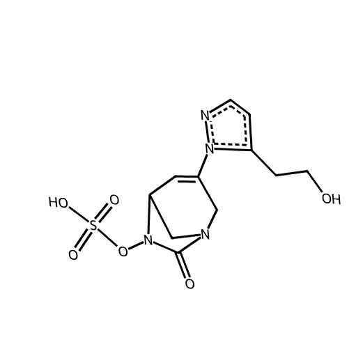 O=C1N2CC(n3nccc3CCO)=CC(C2)N1OS(=O)(=O)O